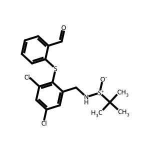 CC(C)(C)[S+]([O-])NCc1cc(Cl)cc(Cl)c1Sc1ccccc1C=O